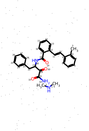 CNC.Cc1ccccc1C=Cc1ccccc1C(=O)NC(Cc1ccccc1)C(=O)C(N)=O